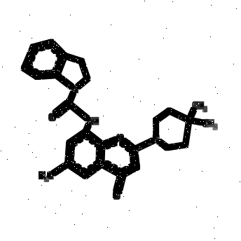 Cc1cc(NC(=O)N2CCc3ccccc32)c2oc(N3CCC(C)(C)CC3)cc(=O)c2c1